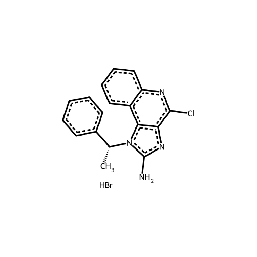 Br.C[C@H](c1ccccc1)n1c(N)nc2c(Cl)nc3ccccc3c21